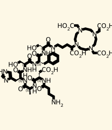 C[C@H](NC(=O)[C@H](CC(=O)O)NC(=O)CCCN)C(=O)N[C@@H](Cc1c[nH]cn1)C(=O)N[C@@H](CO)C(=O)N[C@@H](Cc1ccccc1)C(=O)N[C@H](CO)C(=O)NCCCC(C(=O)O)N1CCN(CC(=O)O)CCN(CC(=O)O)CCN(CC(=O)O)CC1